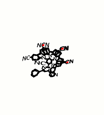 N#Cc1ccc2c(c1)c1cc(C#N)ccc1n2-c1c(C#N)c(-c2nc(-c3ccccc3)cc(-c3ccccc3)n2)c(-n2c3ccc(C#N)cc3c3cc(C#N)ccc32)c(-n2c3ccc(C#N)cc3c3cc(C#N)ccc32)c1-n1c2ccc(C#N)cc2c2cc(C#N)ccc21